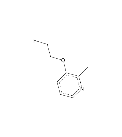 Cc1ncccc1OCCF